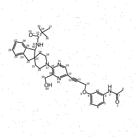 CC(=O)Nc1cccc(OCC#Cc2cnc(N3CCC4(CC3)Cc3ccccc3C4N[S+]([O-])C(C)(C)C)c(CO)n2)c1